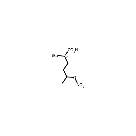 CC(CC[C@H](C(=O)O)C(C)(C)C)O[N+](=O)[O-]